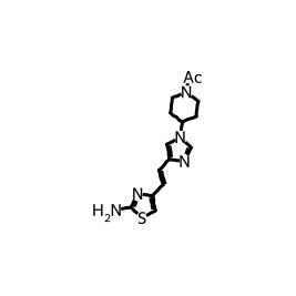 CC(=O)N1CCC(n2cnc(/C=C/c3csc(N)n3)c2)CC1